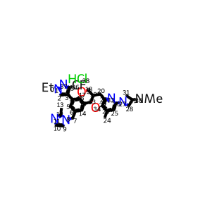 CCn1cc(-c2cc(Cn3ccnc3C)cc3c2OCC(Cc2cc(C)cc(N4CC(NC)C4)n2)C3=O)c(C(F)(F)F)n1.Cl